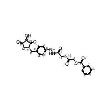 O=C(CSC(=O)c1ccccc1)NCC(=O)NNc1ccc(C[C@H]2CC(=O)N(O)C2=O)cn1